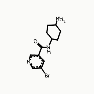 NC1CCC(NC(=O)c2cncc(Br)c2)CC1